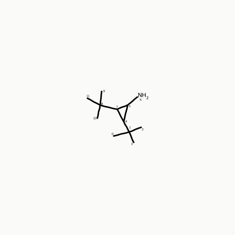 CC(C)(C)C1C(N)C1C(C)(C)C